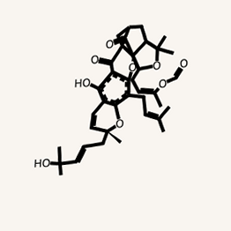 CC(C)=CCc1c2c(c(O)c3c1O[C@]14C(=CC5CC1C(C)(C)OC4(C/C=C(/C)OC=O)C5=O)C3=O)C=C[C@@](C)(C/C=C/C(C)(C)O)O2